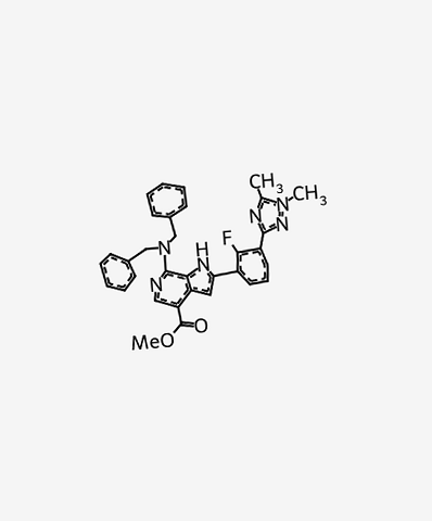 COC(=O)c1cnc(N(Cc2ccccc2)Cc2ccccc2)c2[nH]c(-c3cccc(-c4nc(C)n(C)n4)c3F)cc12